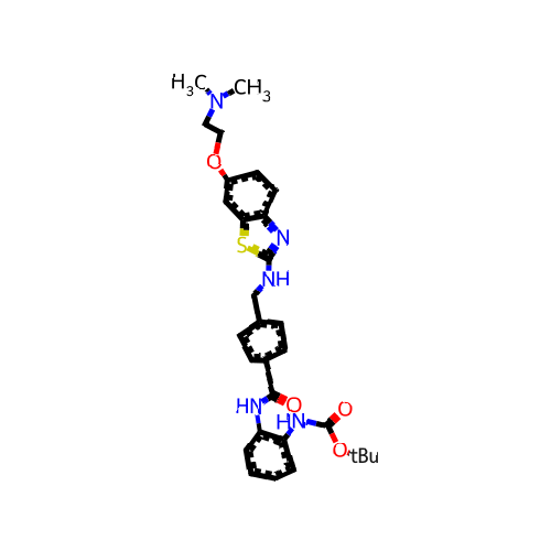 CN(C)CCOc1ccc2nc(NCc3ccc(C(=O)Nc4ccccc4NC(=O)OC(C)(C)C)cc3)sc2c1